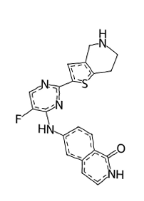 O=c1[nH]ccc2cc(Nc3nc(-c4cc5c(s4)CCNC5)ncc3F)ccc12